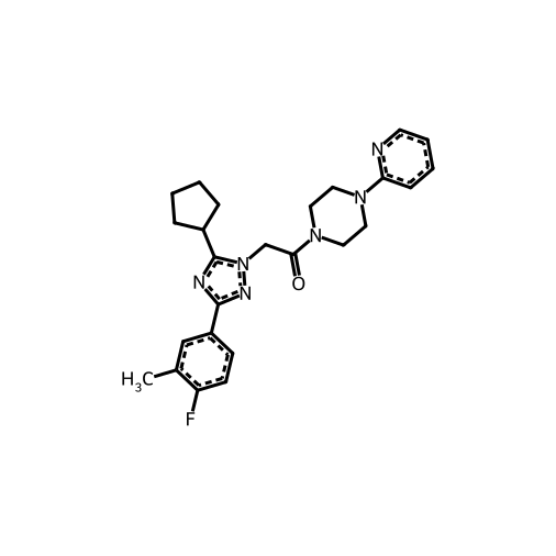 Cc1cc(-c2nc(C3CCCC3)n(CC(=O)N3CCN(c4ccccn4)CC3)n2)ccc1F